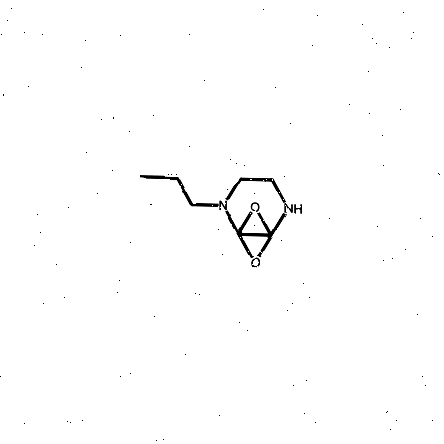 CCCN1CCNC23OC12O3